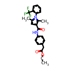 CCOC(=O)Cc1ccc(NC(=O)c2cc(C)n(-c3ccccc3C(F)(F)F)c2C)cc1